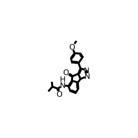 COc1ccc(C2=C3C(=O)c4c(NC(=O)C(C)C)cccc4C3N=N2)cc1